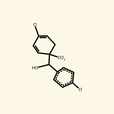 OC(c1ccc(Cl)cc1)C1(C(Cl)(Cl)Cl)C=CC(Cl)=CC1